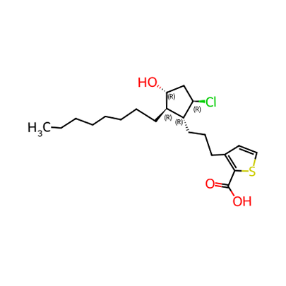 CCCCCCCC[C@@H]1[C@@H](CCCc2ccsc2C(=O)O)[C@H](Cl)C[C@H]1O